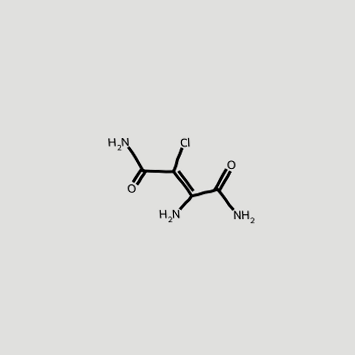 NC(=O)C(N)=C(Cl)C(N)=O